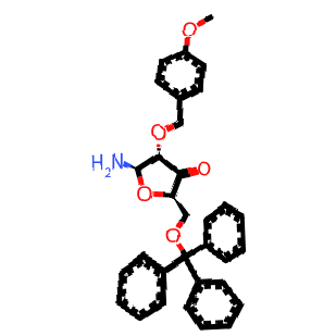 COc1ccc(CO[C@@H]2C(=O)[C@@H](COC(c3ccccc3)(c3ccccc3)c3ccccc3)O[C@H]2N)cc1